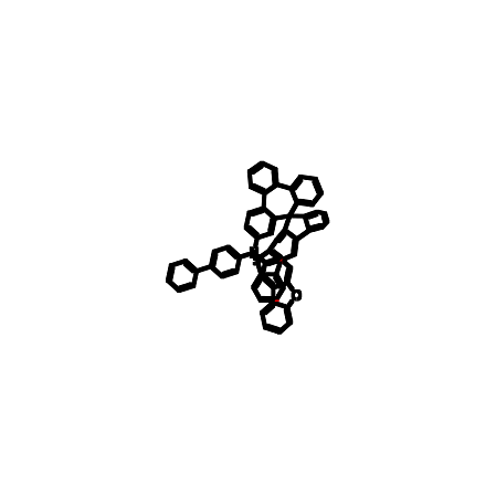 c1ccc(-c2ccc(N(c3ccc4c(c3)C3(c5ccccc5-c5ccccc5-4)c4ccccc4-c4cc5c(cc43)sc3ccccc35)c3ccc4oc5ccccc5c4c3)cc2)cc1